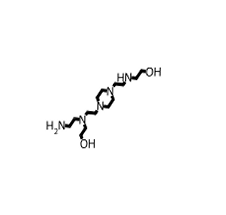 NCCN(CCO)CCN1CCN(CCNCCO)CC1